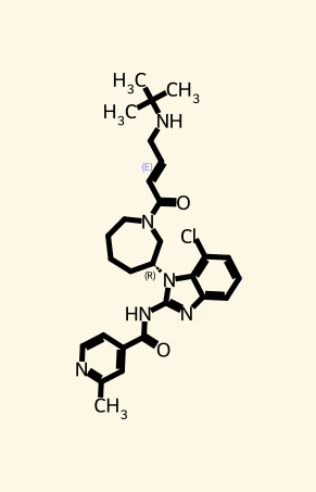 Cc1cc(C(=O)Nc2nc3cccc(Cl)c3n2[C@@H]2CCCCN(C(=O)/C=C/CNC(C)(C)C)C2)ccn1